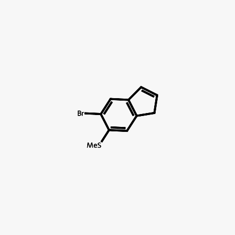 CSc1cc2c(cc1Br)C=CC2